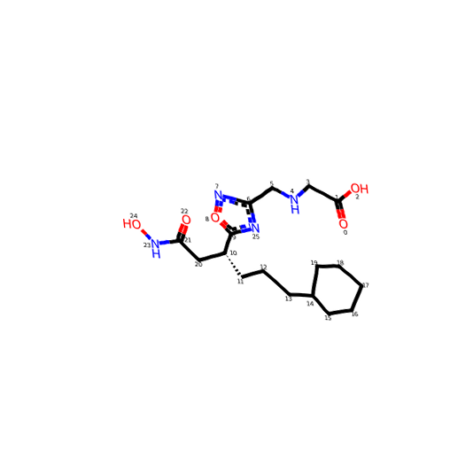 O=C(O)CNCc1noc([C@H](CCCC2CCCCC2)CC(=O)NO)n1